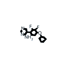 Nc1ncncc1-c1ccc(Oc2ccccc2)c(F)c1F